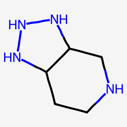 C1CC2NNNC2CN1